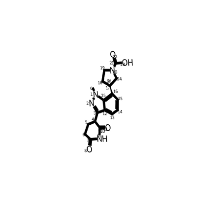 Cn1nc(C2CCC(=O)NC2=O)c2cccc([C@H]3CCN(C(=O)O)C3)c21